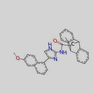 COc1ccc2c(-c3c[nH]c(NC(=O)C4(C)CC5c6ccccc6C4c4ccccc45)n3)cccc2c1